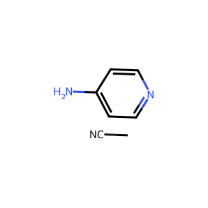 CC#N.Nc1ccncc1